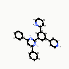 c1ccc(-c2cc(-c3ccccc3)nc(-c3cc(-c4ccncc4)cc(-c4ccccn4)c3)n2)cc1